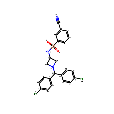 N#Cc1cccc(S(=O)(=O)NC2CN(C(c3ccc(Cl)cc3)c3ccc(Cl)cc3)C2)c1